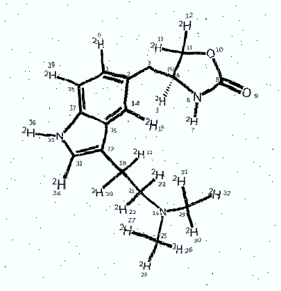 [2H]c1c(C[C@]2([2H])N([2H])C(=O)OC2([2H])[2H])c([2H])c2c(C([2H])([2H])C([2H])([2H])N(C([2H])([2H])[2H])C([2H])([2H])[2H])c([2H])n([2H])c2c1[2H]